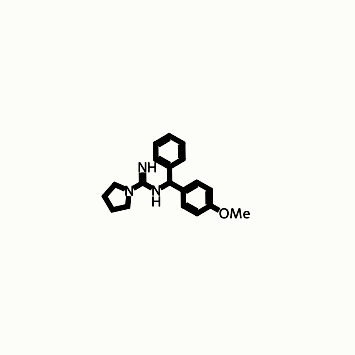 COc1ccc(C(NC(=N)N2CCCC2)c2ccccc2)cc1